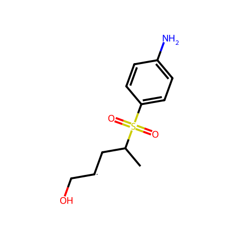 CC(C[CH]CO)S(=O)(=O)c1ccc(N)cc1